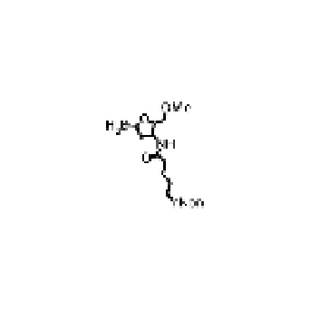 B[C@H]1CC(NC(=O)CCCCCCCCCCCCC)C(COC)O1